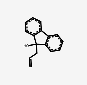 C=CCC1(O)c2ccccc2-c2ccccc21